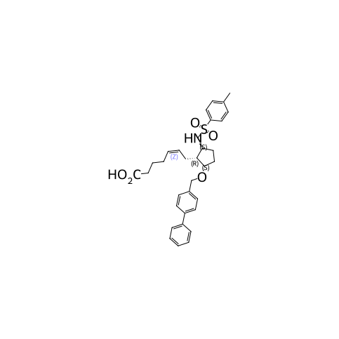 Cc1ccc(S(=O)(=O)N[C@H]2CC[C@H](OCc3ccc(-c4ccccc4)cc3)[C@@H]2C/C=C\CCCC(=O)O)cc1